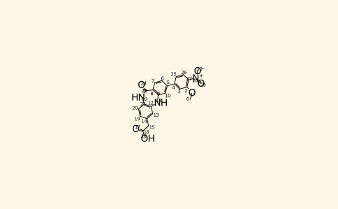 COc1cc(-c2ccc3c(c2)Nc2cc(CC(=O)O)ccc2NC3=O)ccc1[N+](=O)[O-]